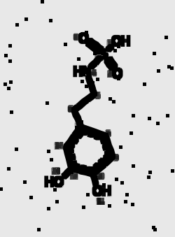 O=S(=O)(O)NCCc1ccc(O)c(O)c1